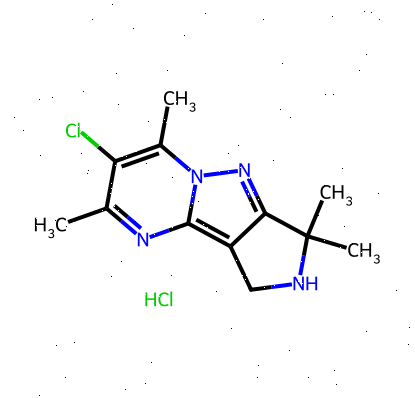 Cc1nc2c3c(nn2c(C)c1Cl)C(C)(C)NC3.Cl